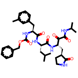 Cc1cccc(C[C@H](NC(=O)OCc2ccccc2)C(=O)N[C@@H](CC(C)C)C(=O)N[C@@H](C[C@@H]2CCNC2=O)C(=O)C(=O)NC(C)C)c1